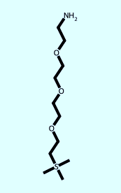 CS(C)(C)CCOCCOCCOCCN